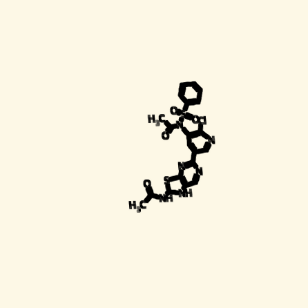 CC(=O)NC1Nc2cnc(-c3cnc(Cl)c(N(C(C)=O)S(=O)(=O)c4ccccc4)c3)nc2S1